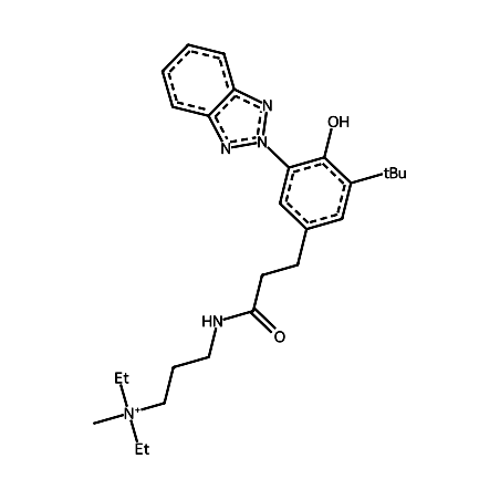 CC[N+](C)(CC)CCCNC(=O)CCc1cc(-n2nc3ccccc3n2)c(O)c(C(C)(C)C)c1